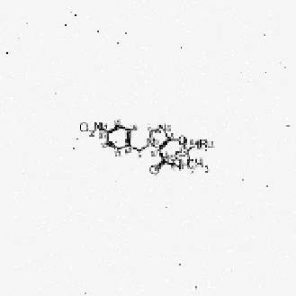 CC(C)(C)[Si](C)(C)Oc1ncn(Cc2ccc([N+](=O)[O-])cc2)c1C(N)=O